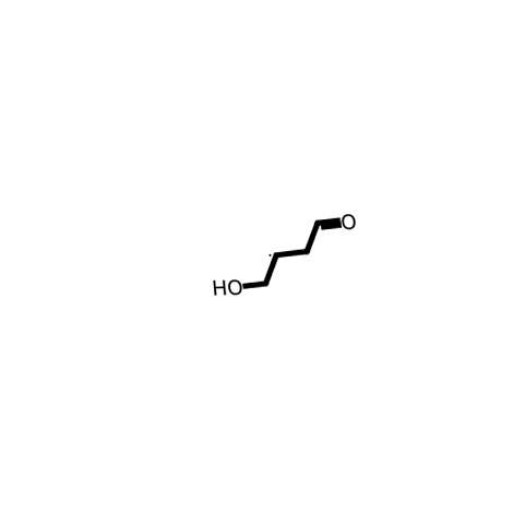 O=CC[CH]CO